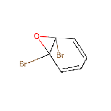 BrC12C=CC=CC1(Br)O2